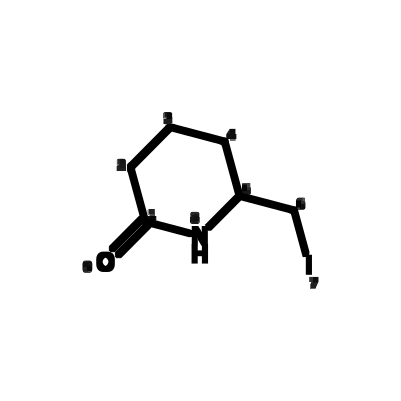 O=C1CCCC(CI)N1